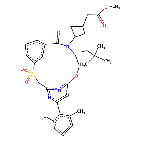 COC(=O)CC1CC(N2C(=O)c3cccc(c3)S(=O)(=O)Nc3nc(cc(-c4c(C)cccc4C)n3)OC[C@H]2CC(C)(C)C)C1